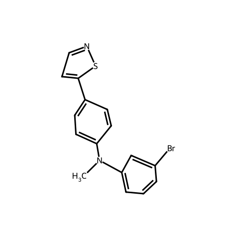 CN(c1ccc(-c2ccns2)cc1)c1cccc(Br)c1